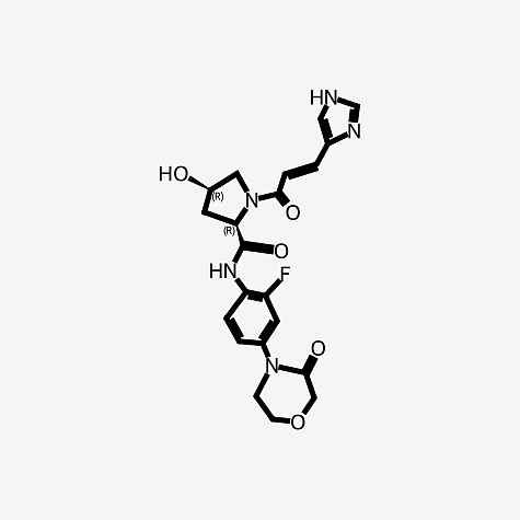 O=C(Nc1ccc(N2CCOCC2=O)cc1F)[C@H]1C[C@@H](O)CN1C(=O)C=Cc1c[nH]cn1